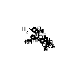 CNCCc1cccc(C(Nc2ccc3c(N(C(=O)OC(C)(C)C)C(=O)OC(C)(C)C)ncc(F)c3c2)C(=O)N(C)Cc2cc(N)ccc2S(=O)(=O)C2CC2)c1